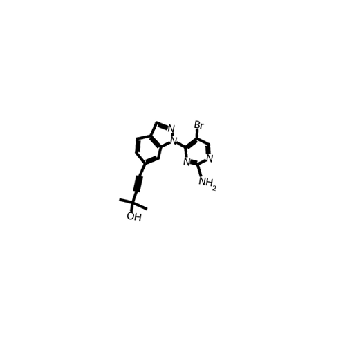 CC(C)(O)C#Cc1ccc2cnn(-c3nc(N)ncc3Br)c2c1